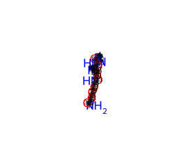 N#C[C@@H]1CCCN1C(=O)CNC(=O)c1ccnc2cc(OCC(=O)NCCOCCOCCOCCC(N)=O)ccc12